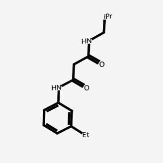 CCc1cccc(NC(=O)CC(=O)NCC(C)C)c1